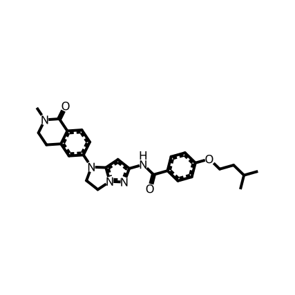 CC(C)CCOc1ccc(C(=O)Nc2cc3n(n2)CCN3c2ccc3c(c2)CCN(C)C3=O)cc1